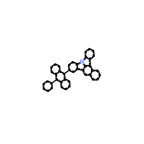 c1ccc(-c2c3ccccc3c(-c3ccc4c(c3)c3cc5ccccc5c5c6ccccc6n4c35)c3ccccc23)cc1